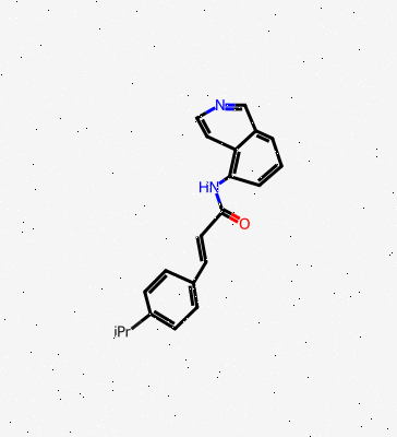 CC(C)c1ccc(C=CC(=O)Nc2cccc3cnccc23)cc1